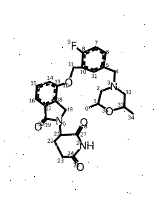 CC1CN(Cc2ccc(F)c(COc3cccc4c3CN(C3CCC(=O)NC3=O)C4=O)c2)CC(C)O1